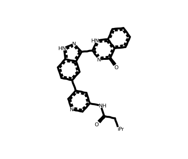 CC(C)CC(=O)Nc1cncc(-c2ccc3[nH]nc(-c4nc(=O)c5ccccc5[nH]4)c3c2)c1